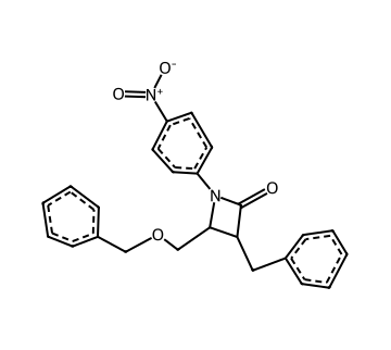 O=C1C(Cc2ccccc2)C(COCc2ccccc2)N1c1ccc([N+](=O)[O-])cc1